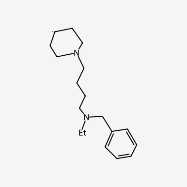 CCN(CCCCN1CC[CH]CC1)Cc1ccccc1